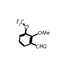 COc1c(C=O)cccc1OC(F)(F)F